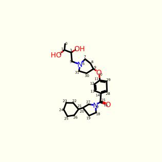 CC(O)C(O)CN1CCC(Oc2ccc(C(=O)N3CCC(C4CCCCC4)C3)cc2)CC1